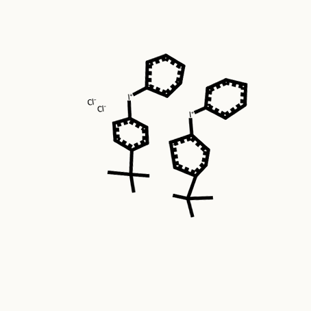 CC(C)(C)c1ccc([I+]c2ccccc2)cc1.CC(C)(C)c1ccc([I+]c2ccccc2)cc1.[Cl-].[Cl-]